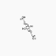 O=C(O)CCCOc1ccc2c(O)c3cc(OCCCC(=O)O)ccc3c(O)c2c1